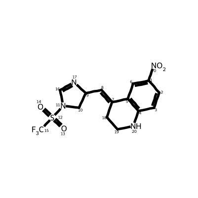 O=[N+]([O-])c1ccc2c(c1)/C(=C/C1CN(S(=O)(=O)C(F)(F)F)C=N1)CCN2